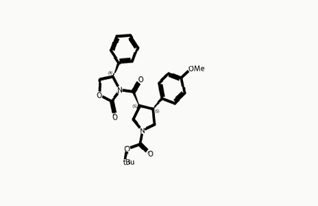 COc1ccc([C@H]2CN(C(=O)OC(C)(C)C)C[C@H]2C(=O)N2C(=O)OC[C@H]2c2ccccc2)cc1